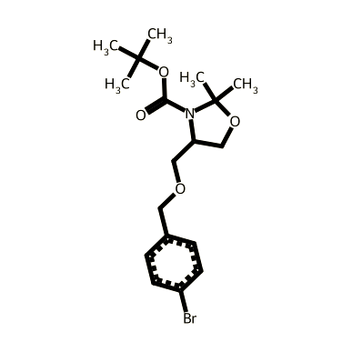 CC(C)(C)OC(=O)N1C(COCc2ccc(Br)cc2)COC1(C)C